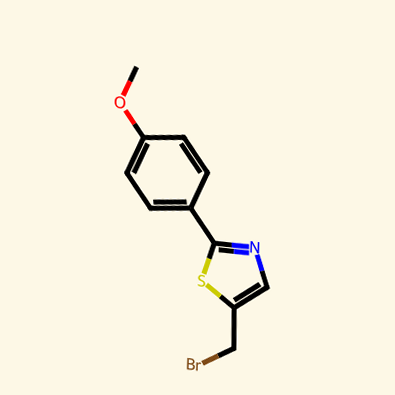 COc1ccc(-c2ncc(CBr)s2)cc1